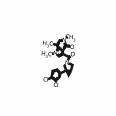 Cc1cn(C)c(=O)c2c(C(=O)N3CC4CC4(c4ccc(Cl)c(Cl)c4)C3)cn(C)c12